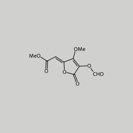 COC(=O)/C=C1\OC(=O)C(OC=O)=C1OC